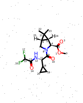 COC(=O)[C@@H]1[C@@H]2[C@H](CN1C(=O)[C@@H](NC(=O)C(F)F)C1CC1)C2(C)C